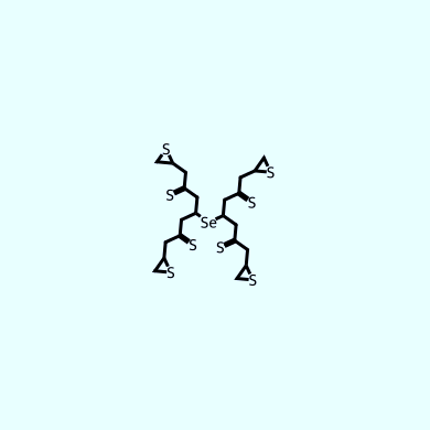 S=C(CC1CS1)CC(CC(=S)CC1CS1)[Se]C(CC(=S)CC1CS1)CC(=S)CC1CS1